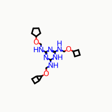 C1CCC(OCNC2=NC(NCOC3C4CCC43)NC(NCOC3CCC3)=N2)C1